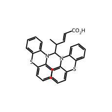 CC(C=CC(=O)O)C(N1c2ccccc2Sc2ccccc21)N1c2ccccc2Sc2ccccc21